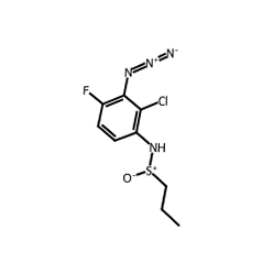 CCC[S+]([O-])Nc1ccc(F)c(N=[N+]=[N-])c1Cl